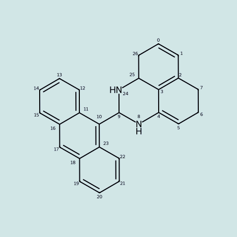 C1=CC2=C3C(=CCC2)NC(c2c4ccccc4cc4ccccc24)NC3C1